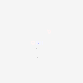 CC(C)C(=O)CCCCCNC(=O)c1ccc2ccccc2c1